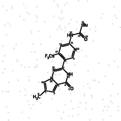 Cc1cc2c(=O)[nH]c(-c3cnc(NC(=O)C(C)(C)C)cc3C(F)(F)F)nn2c1